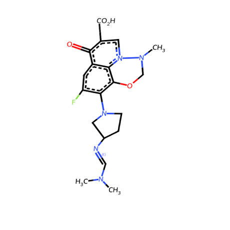 CN(C)/C=N/C1CCN(c2c(F)cc3c(=O)c(C(=O)O)cn4c3c2OCN4C)C1